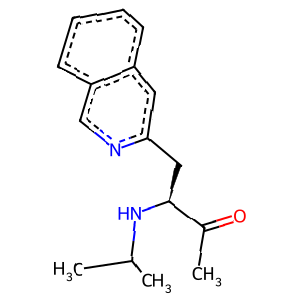 CC(=O)[C@H](Cc1cc2ccccc2cn1)NC(C)C